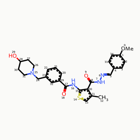 COc1ccc(C=NNC(=O)c2c(C)csc2NC(=O)c2cccc(CN3CCC(O)CC3)c2)cc1